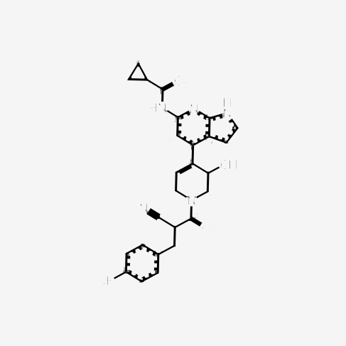 CC1CN(C(=O)C(C#N)Cc2ccc(F)cc2)CC=C1c1cc(NC(=O)C2CC2)nc2[nH]ccc12